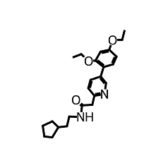 CCOc1ccc(-c2ccc(CC(=O)NCCC3CCCC3)nc2)c(OCC)c1